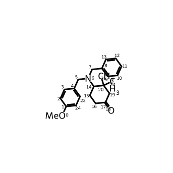 COc1ccc(CN(Cc2ccccc2)C2CCC(=O)CC2(C)C)cc1